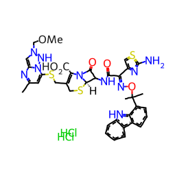 COCN1C=C2N=C(C)C=C(SCC3=C(C(=O)O)N4C(=O)C(NC(=O)/C(=N/OC(C)(C)c5cccc6c5[nH]c5ccccc56)c5csc(N)n5)[C@H]4SC3)N2N1.Cl.Cl